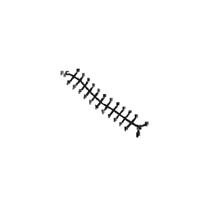 FN(F)C(F)(F)C(F)(F)C(F)(F)C(F)(F)C(F)(F)C(F)(F)C(F)(F)C(F)(F)C(F)(F)C(F)(F)C(F)(F)C(F)(F)F